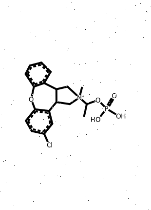 CC(OP(=O)(O)O)[N+]1(C)CC2c3ccccc3Oc3ccc(Cl)cc3C2C1